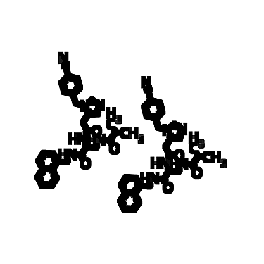 CC(C)C(=O)NCC(NC(=O)Cc1cncn1Cc1ccc(C#N)cc1)C(=O)NCc1cccc2ccccc12.CC(C)C(=O)NCC(NC(=O)Cc1cncn1Cc1ccc(C#N)cc1)C(=O)NCc1cccc2ccccc12